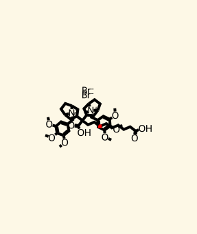 COc1cc(C[N+]2(C)C3CCC2CC(C(CCCCCCCCC(=O)O)(C(=O)O)C2CC4CCC(C2)[N+]4(C)Cc2cc(OC)c(OC)c(OC)c2)C3)cc(OC)c1OC.[Br-].[Br-]